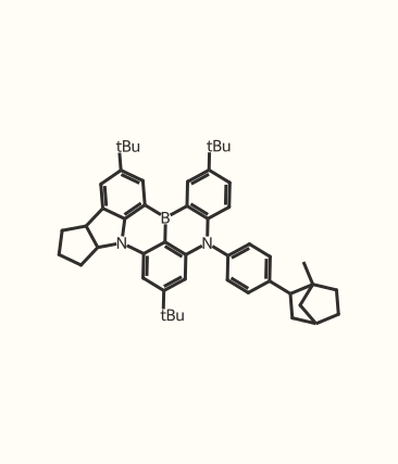 CC(C)(C)c1ccc2c(c1)B1c3cc(C(C)(C)C)cc4c3N(c3cc(C(C)(C)C)cc(c31)N2c1ccc(C2CC3CCC2(C)C3)cc1)C1CCCC41